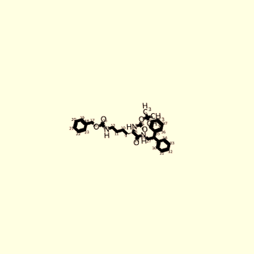 CC(C)(C)OC(=O)N[C@@H](CCCCNC(=O)OCc1ccccc1)C(=O)NCC(c1ccccc1)c1ccccc1